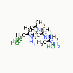 CC(C)N.CC(C)N.CC(C)N.CC(C)N.Cl.Cl.Cl.Cl